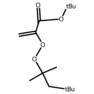 [C]C(C)(C)OC(=O)C(=C)OOC(C)(C)CC(C)(C)C